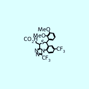 COc1cccc(C2SC(CC(=O)O)c3nnc(C(F)(F)F)n3-c3ccc(C(F)(F)F)cc32)c1OC